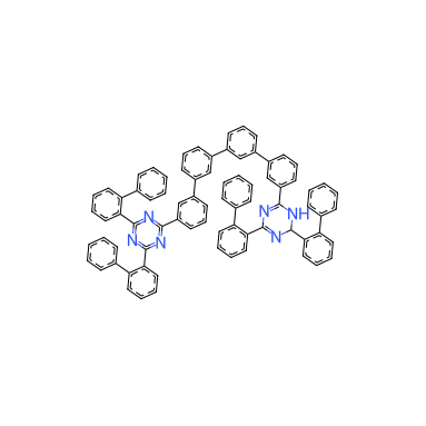 c1ccc(-c2ccccc2C2=NC(c3ccccc3-c3ccccc3)NC(c3cccc(-c4cccc(-c5cccc(-c6cccc(-c7nc(-c8ccccc8-c8ccccc8)nc(-c8ccccc8-c8ccccc8)n7)c6)c5)c4)c3)=N2)cc1